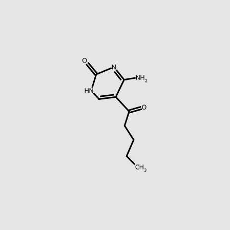 CCCCC(=O)c1c[nH]c(=O)nc1N